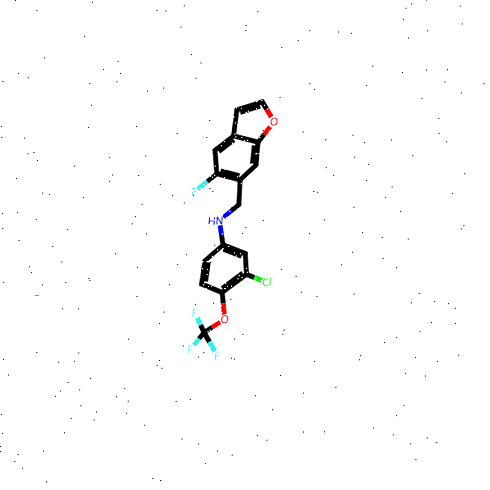 Fc1cc2ccoc2cc1CNc1ccc(OC(F)(F)F)c(Cl)c1